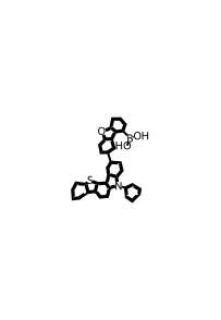 OB(O)c1cccc2oc3ccc(-c4ccc5c(c4)c4c6sc7ccccc7c6ccc4n5-c4ccccc4)cc3c12